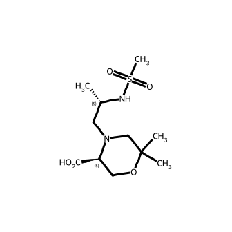 C[C@@H](CN1CC(C)(C)OC[C@H]1C(=O)O)NS(C)(=O)=O